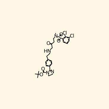 CN(CCC(=O)CNCCc1ccc(C2=NCCN2C(=O)OC(C)(C)C)cc1)S(=O)(=O)c1cccc(Cl)c1Cl